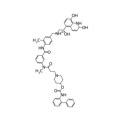 Cc1cc(CNC[C@H](O)c2ccc(O)c3c2C=CC(O)N3)ccc1NC(=O)c1cccc(N(C)C(=O)CCN2CCC(OC(=O)Nc3ccccc3-c3ccccc3)CC2)c1